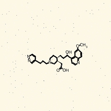 COc1ccc2nccc([C@@H](O)CC[C@@H]3CCN(CCCc4ccnnc4)C[C@@H]3CC(=O)O)c2c1